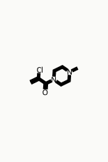 C=C(Cl)C(=O)N1CCN(C)CC1